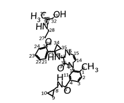 Cc1ccc(C(=O)NC2CC2)cc1-n1ccnc(NC2(c3ccccc3OCCN[C@H](C)CO)CC2)c1=O